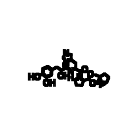 CC1(C)C2CCC1(C)C(OC(=O)C1CCCN1C(=O)C(CC1=NC=NC1)NC(=O)C(O)Cc1ccc(O)c(O)c1)C2